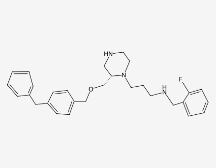 Fc1ccccc1CNCCCN1CCNC[C@H]1COCc1ccc(Cc2ccccc2)cc1